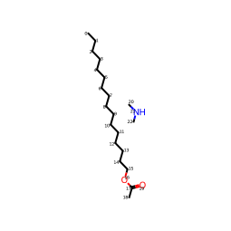 CCCCCCCCCCCCCCCCOC(C)=O.CNC